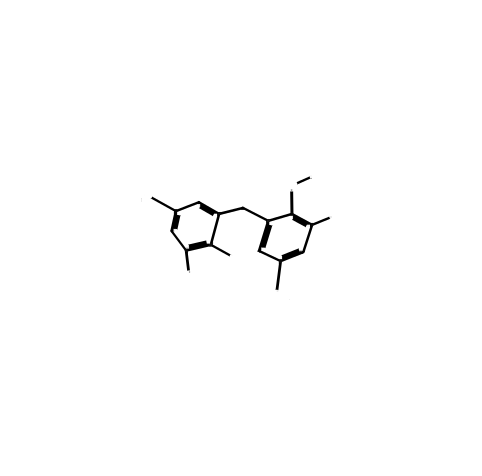 CCOc1c(C)cc(C)cc1Cc1cc(C)cc(C)c1O